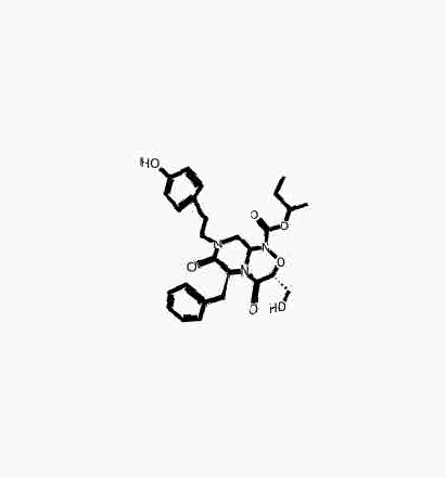 CCC(C)OC(=O)N1O[C@H](CO)C(=O)N2C1CN(CCc1ccc(O)cc1)C(=O)[C@@H]2Cc1ccccc1